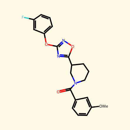 COc1cccc(C(=O)N2CCCC(c3nc(Oc4cccc(F)c4)no3)C2)c1